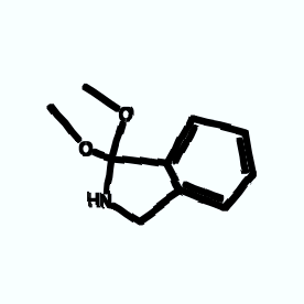 COC1(OC)NCc2ccccc21